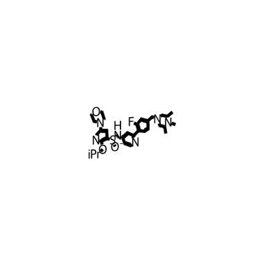 CC(C)Oc1ncc(N2CCOCC2)cc1[S+]([O-])Nc1ccnc(-c2ccc(CN3CC(C)N(C)C(C)C3)cc2F)c1